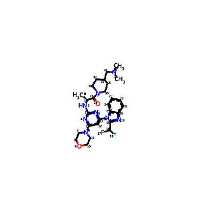 C[C@H](Nc1nc(N2CCOCC2)cc(-n2c(C(F)F)nc3ccccc32)n1)C(=O)N1CCC(CN(C)C)CC1